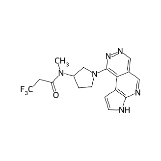 CN(C(=O)CC(F)(F)F)C1CCN(c2nncc3cnc4[nH]ccc4c23)C1